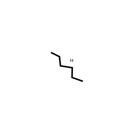 CCCCCC.[H]